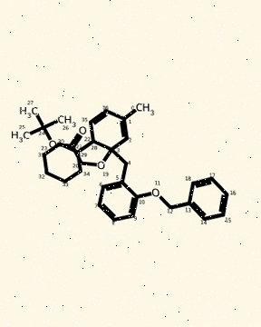 CC1=CC(Cc2ccccc2OCc2ccccc2)(OCC(=O)OC(C)(C)C)C(C2CCCCC2)C=C1